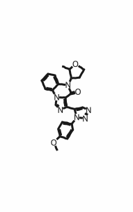 COc1ccc(-n2nncc2-c2ncn3c2c(=O)n(C2CCOC2C)c2ccccc23)cc1